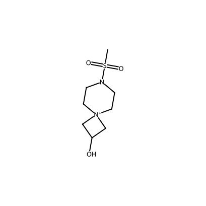 CS(=O)(=O)N1CC[N+]2(CC1)CC(O)C2